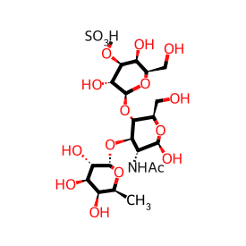 CC(=O)N[C@@H]1[C@@H](O[C@@H]2O[C@@H](C)[C@@H](O)[C@@H](O)[C@@H]2O)[C@H](O[C@@H]2O[C@H](CO)[C@H](O)[C@H](OS(=O)(=O)O)[C@H]2O)[C@@H](CO)O[C@H]1O